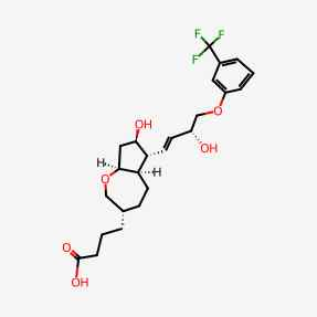 O=C(O)CCC[C@H]1CC[C@@H]2[C@@H](/C=C/[C@@H](O)COc3cccc(C(F)(F)F)c3)[C@H](O)C[C@@H]2OC1